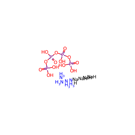 N.N.N.N.O=P(O)(O)OP(=O)(O)OP(=O)(O)OP(=O)(O)O.[NaH].[NaH].[NaH].[NaH]